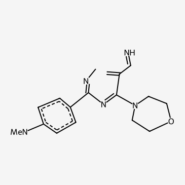 C=C(C=N)/C(=N\C(=N/C)c1ccc(NC)cc1)N1CCOCC1